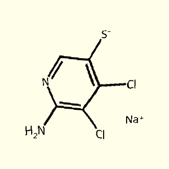 Nc1ncc([S-])c(Cl)c1Cl.[Na+]